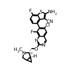 CN1CC2C[C@@H]2[C@H]1COc1ncc2cc(Cl)c(-c3ccc(F)c4sc(N)c(C#N)c34)c(F)c2n1